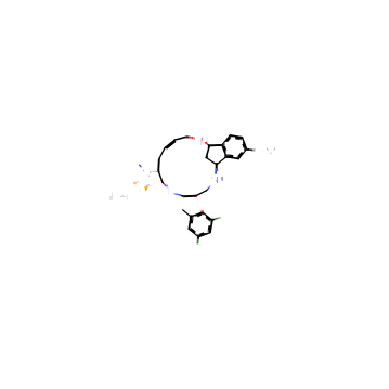 CCCCCS(=O)(=O)N(C)[C@H]1CC=CCO[C@@H]2C[C@H](NC[C@@H](O)[C@H](Cc3cc(Cl)cc(Cl)c3)NC1=O)c1cc(OC)ccc12